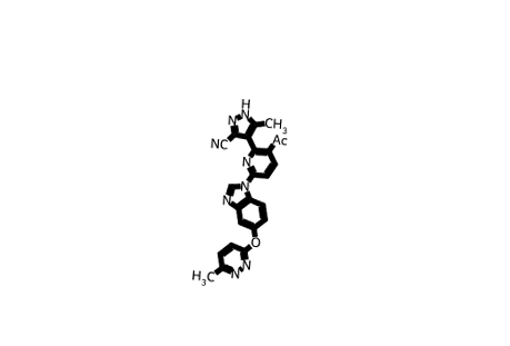 CC(=O)c1ccc(-n2cnc3cc(Oc4ccc(C)nn4)ccc32)nc1-c1c(C#N)n[nH]c1C